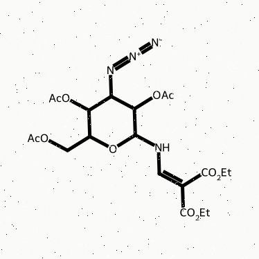 CCOC(=O)C(=CNC1OC(COC(C)=O)C(OC(C)=O)C(N=[N+]=[N-])C1OC(C)=O)C(=O)OCC